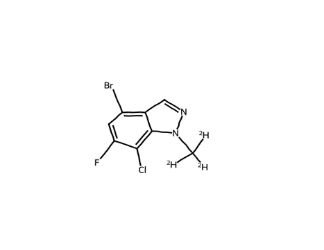 [2H]C([2H])([2H])n1ncc2c(Br)cc(F)c(Cl)c21